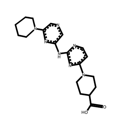 O=C(O)C1CCN(c2ccnc(Nc3cncc(N4CCCCC4)n3)n2)CC1